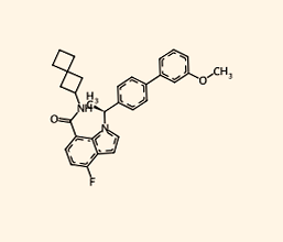 COc1cccc(-c2ccc([C@H](C)n3ccc4c(F)ccc(C(=O)NC5CC6(CCC6)C5)c43)cc2)c1